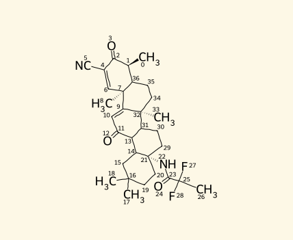 C[C@@H]1C(=O)C(C#N)=C[C@]2(C)C3=CC(=O)C4C5CC(C)(C)CC[C@]5(NC(=O)C(C)(F)F)CCC4[C@]3(C)CCC12